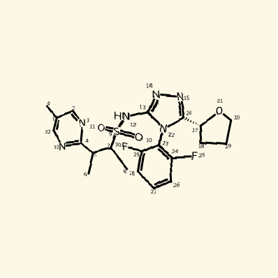 Cc1cnc(C(C)C(C)S(=O)(=O)Nc2nnc([C@H]3CCCO3)n2-c2c(F)cccc2F)nc1